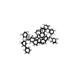 C=CC1=C(/C=C\C)c2c(ccc3ccccc23)C12c1c(ccc3cc(N(c4ccccc4)c4cccc(-c5ccccc5)c4)ccc13)-c1ccc3cc(N(c4ccccc4)c4cccc(-c5ccccc5)c4)ccc3c12